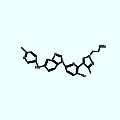 COCCn1cc(-c2nc(-n3cnc4cc(Nc5ccc(C)nn5)ccc43)ccc2C(C)=O)c(C)n1